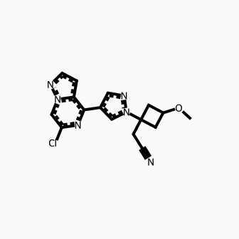 COC1CC(CC#N)(n2cc(-c3nc(Cl)cn4nccc34)cn2)C1